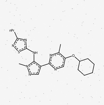 CCCc1nsc(Nc2c(-c3ncc(OC4CCCCC4)c(C)n3)cnn2C)n1